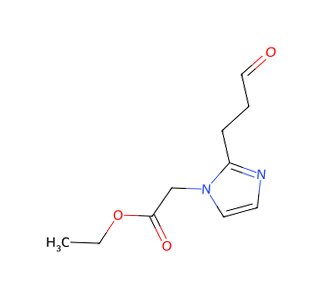 CCOC(=O)Cn1ccnc1CCC=O